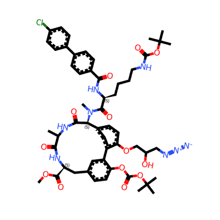 COC(=O)[C@@H]1Cc2ccc(OC(=O)OC(C)(C)C)c(c2)-c2cc(ccc2OCC(O)CN=[N+]=[N-])[C@H](N(C)C(=O)[C@H](CCCCNC(=O)OC(C)(C)C)NC(=O)c2ccc(-c3ccc(Cl)cc3)cc2)C(=O)NC(C)C(=O)N1